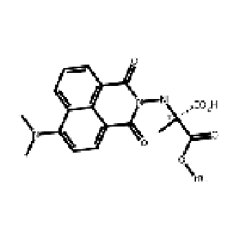 CN(C)c1ccc2c3c(cccc13)C(=O)N(N[C@@](C)(C(=O)O)C(=O)OC(C)(C)C)C2=O